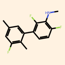 CNc1c(F)ccc(-c2cc(C)cc(F)c2C)c1F